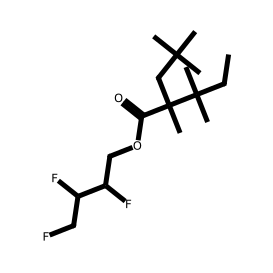 CCC(C)(C)C(C)(CC(C)(C)C)C(=O)OCC(F)C(F)CF